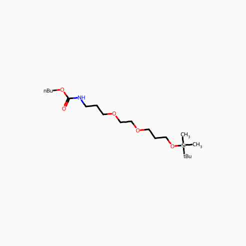 CCCCOC(=O)NCCCOCCOCCCO[Si](C)(C)C(C)(C)C